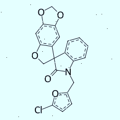 O=C1N(Cc2ccc(Cl)o2)c2ccccc2C12COc1cc3c(cc12)OCO3